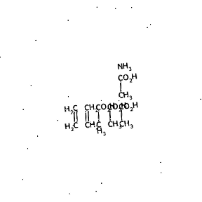 C=C.C=C.CC(=O)O.CC(=O)O.CC(=O)O.CC(=O)O.N